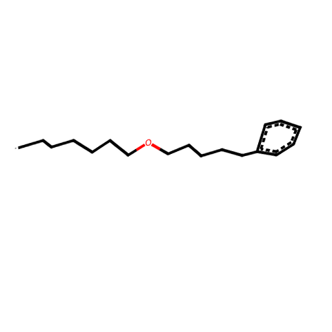 [CH2]CCCCCCOCCCCCc1ccccc1